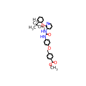 COC(=O)c1ccc(COc2ccc(NC(=O)Nc3cccnc3Oc3ccccc3C(C)(C)C)cc2)cc1